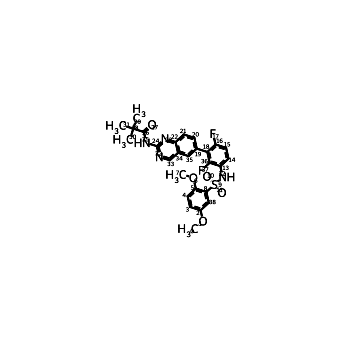 COc1ccc(OC)c(S(=O)(=O)Nc2ccc(F)c(-c3ccc4nc(NC(=O)C(C)(C)C)ncc4c3)c2F)c1